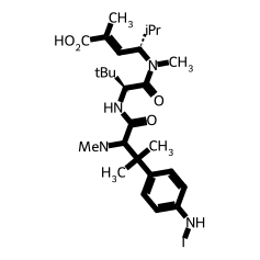 CNC(C(=O)N[C@H](C(=O)N(C)[C@H](/C=C(\C)C(=O)O)C(C)C)C(C)(C)C)C(C)(C)c1ccc(NI)cc1